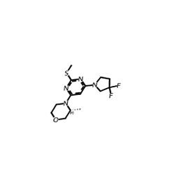 CSc1nc(N2CCC(F)(F)C2)cc(N2CCOC[C@H]2C)n1